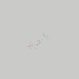 CC(C)(C)OC(=O)N=C(N)N(CCN1CCN(CC(=O)NC2Cc3cccc(C(=O)O)c3OB2O)C(=O)C1)C(=O)OC(C)(C)C